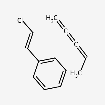 C=C=C=CC.ClC=Cc1ccccc1